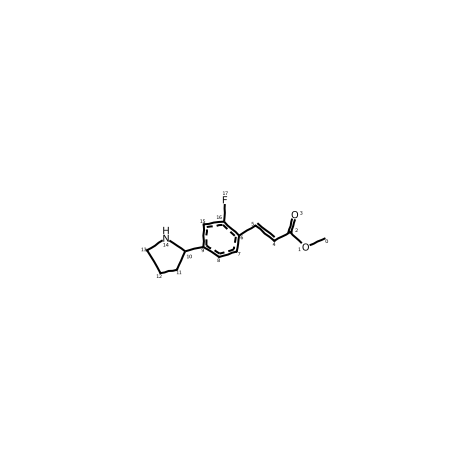 COC(=O)C=Cc1ccc(C2CCCN2)cc1F